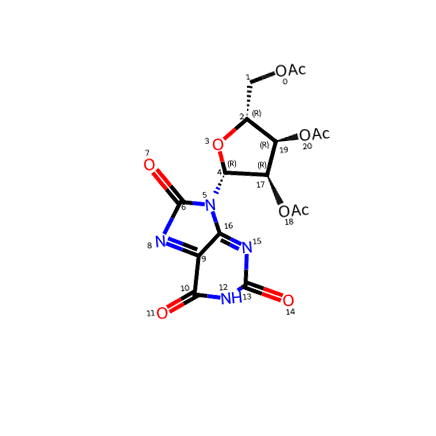 CC(=O)OC[C@H]1O[C@@H](N2C(=O)N=C3C(=O)NC(=O)N=C32)[C@H](OC(C)=O)[C@@H]1OC(C)=O